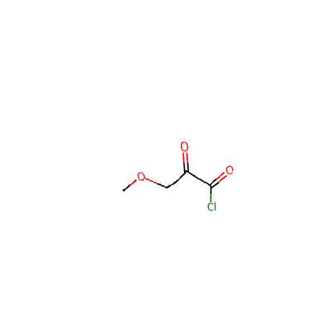 COCC(=O)C(=O)Cl